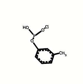 Cc1cccc(OP(O)OCl)c1